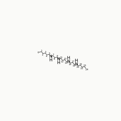 CCCCCCNCCCNCCCCNCCCNCCCCC